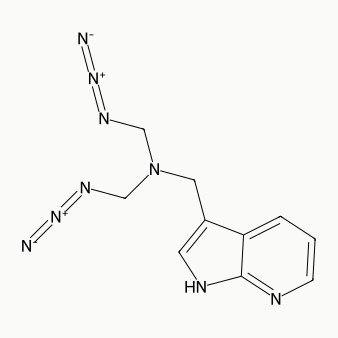 [N-]=[N+]=NCN(CN=[N+]=[N-])Cc1c[nH]c2ncccc12